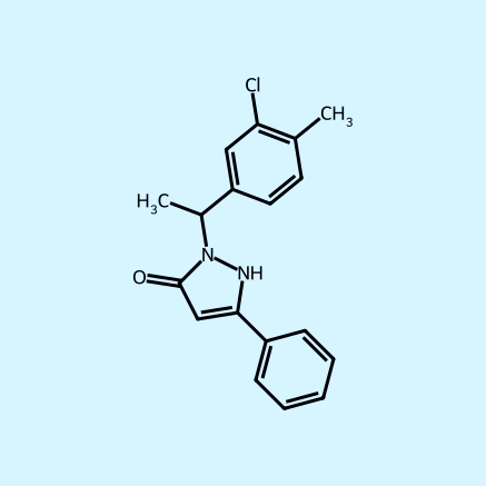 Cc1ccc(C(C)n2[nH]c(-c3ccccc3)cc2=O)cc1Cl